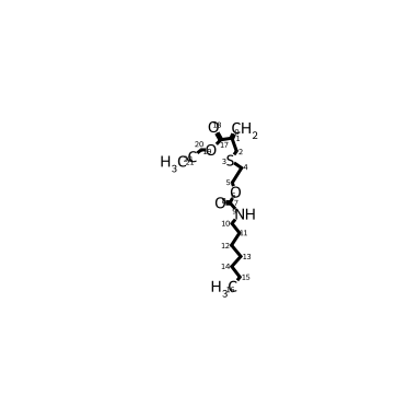 C=C(CSCCOC(=O)NCCCCCCC)C(=O)OCCC